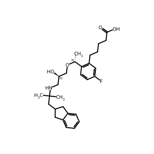 C[C@@H](OC[C@H](O)CNC(C)(C)CC1Cc2ccccc2C1)c1ccc(F)cc1CCCCC(=O)O